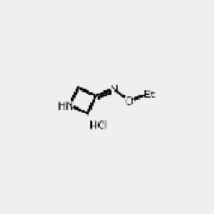 CCON=C1CNC1.Cl